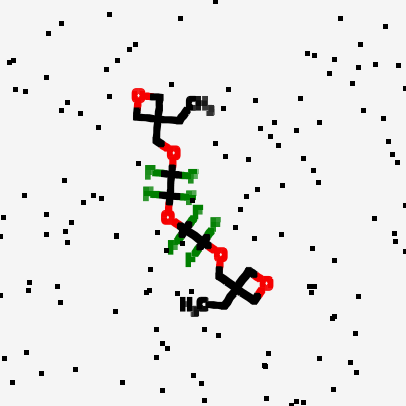 CCC1(COC(F)(F)C(F)(F)OC(F)(F)C(F)(F)OCC2(CC)COC2)COC1